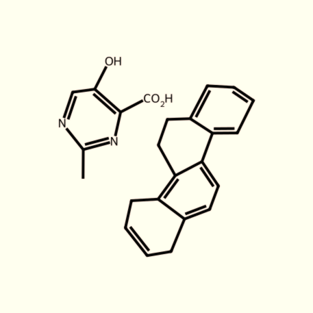 C1=CCc2c(ccc3c2CCc2ccccc2-3)C1.Cc1ncc(O)c(C(=O)O)n1